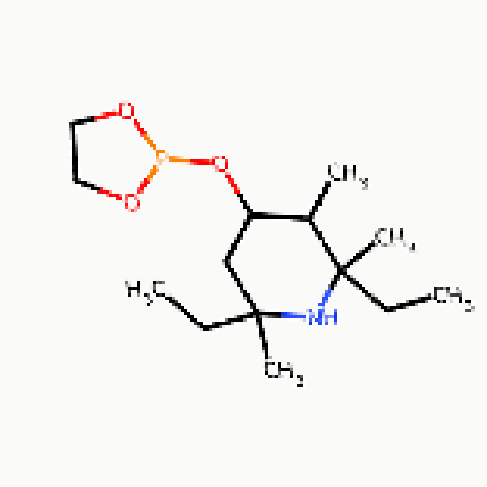 CCC1(C)CC(OP2OCCO2)C(C)C(C)(CC)N1